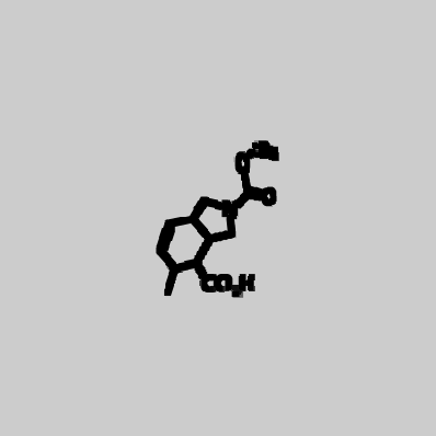 CC1C=CC2CN(C(=O)OC(C)(C)C)CC2C1C(=O)O